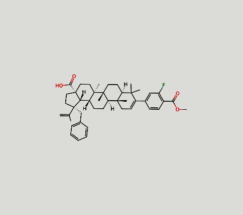 C=C(C)[C@@]1(Cc2ccccc2)CC[C@@]2(C(=O)O)CC[C@]3(C)[C@H](CC[C@@H]4[C@@]5(C)CC=C(c6ccc(C(=O)OC)c(F)c6)C(C)(C)[C@@H]5CC[C@]43C)[C@H]12